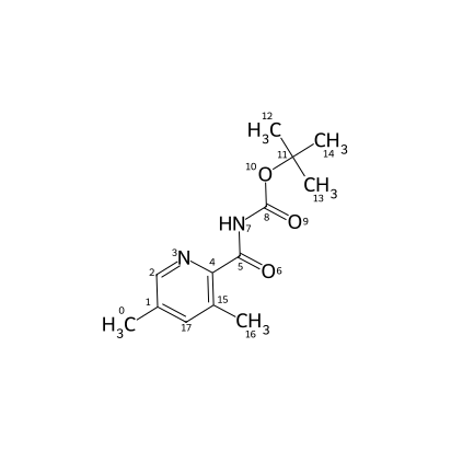 Cc1cnc(C(=O)NC(=O)OC(C)(C)C)c(C)c1